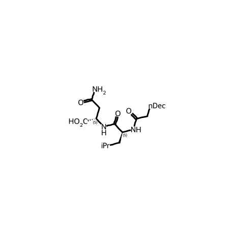 CCCCCCCCCCCC(=O)N[C@@H](CC(C)C)C(=O)N[C@@H](CC(N)=O)C(=O)O